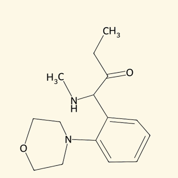 CCC(=O)C(NC)c1ccccc1N1CCOCC1